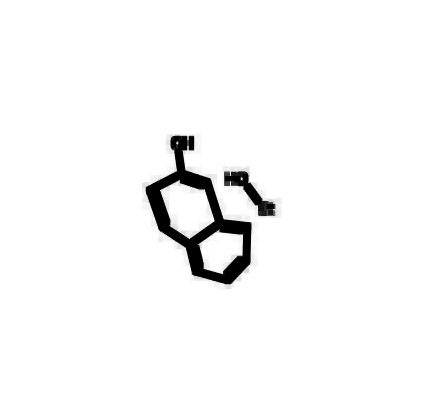 CCO.Oc1ccc2ccccc2c1